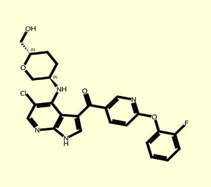 O=C(c1ccc(Oc2ccccc2F)nc1)c1c[nH]c2ncc(Cl)c(N[C@@H]3CC[C@@H](CO)OC3)c12